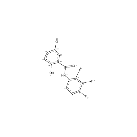 O=C(Nc1ccc(F)c(F)c1F)c1cc(Cl)ccc1O